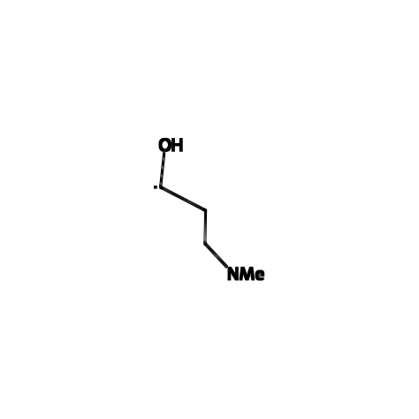 CNCC[CH]O